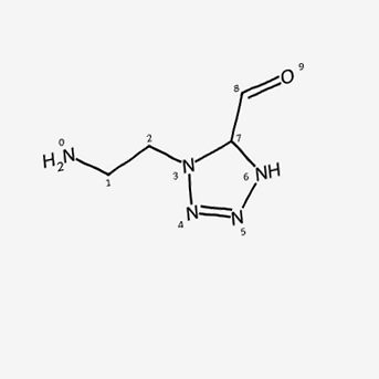 NCCN1N=NNC1C=O